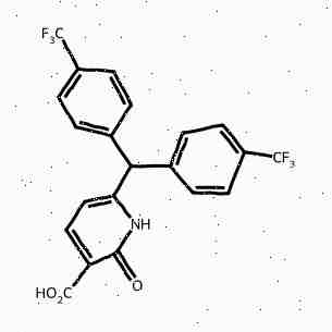 O=C(O)c1ccc(C(c2ccc(C(F)(F)F)cc2)c2ccc(C(F)(F)F)cc2)[nH]c1=O